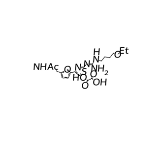 CCOCCCCN/C(N)=N/c1nc(-c2ccc(CNC(C)=O)o2)cs1.O=C(O)C(=O)O